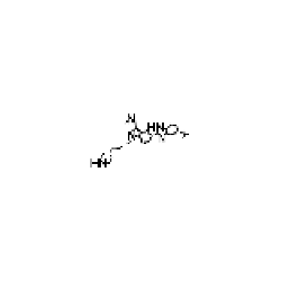 CN(C)Cc1cn(CCCCC2CCNCC2)c2ccc(-c3nc4cc(C(C)(C)C)ccc4[nH]3)cc12